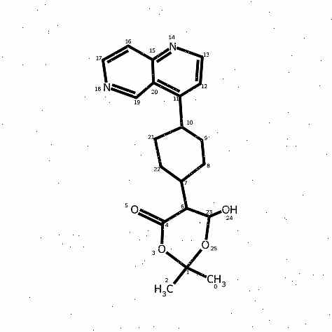 CC1(C)OC(=O)C(C2CCC(c3ccnc4ccncc34)CC2)C(O)O1